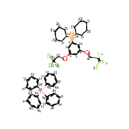 FC(F)(F)COc1cc(OCC(F)(F)F)cc([PH+](C2CCCCC2)C2CCCCC2)c1.c1ccc([B-](c2ccccc2)(c2ccccc2)c2ccccc2)cc1